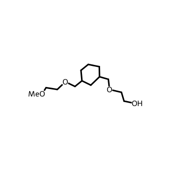 COCCOCC1CCCC(COCCO)C1